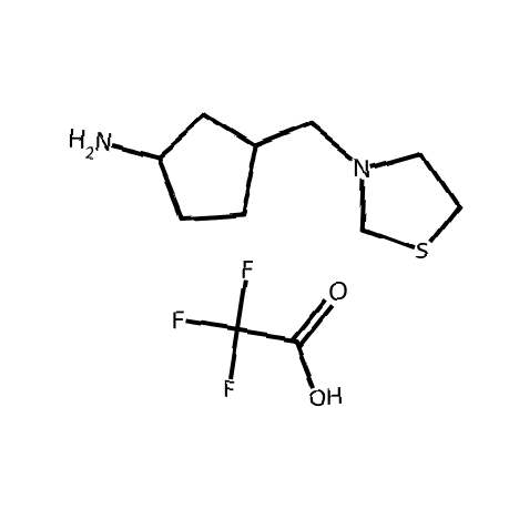 NC1CCC(CN2CCSC2)C1.O=C(O)C(F)(F)F